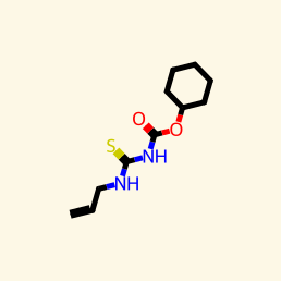 C=CCNC(=S)NC(=O)OC1CCCCC1